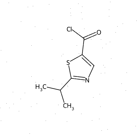 CC(C)c1ncc(C(=O)Cl)s1